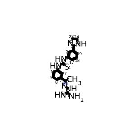 C/C(=N\NC(=N)N)c1cccc(NC(=S)Nc2cccc(C3=NCCN3)c2)c1